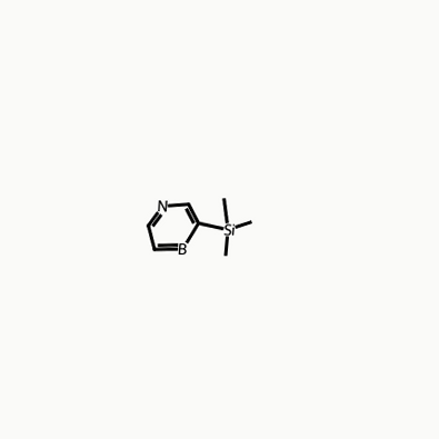 C[Si](C)(C)c1bccnc1